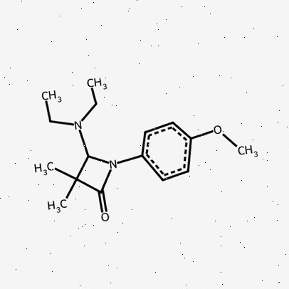 CCN(CC)C1N(c2ccc(OC)cc2)C(=O)C1(C)C